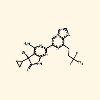 CCC1(C2CC2)C(=O)Nc2nc(-c3cn4ccnc4c(CCC(F)(F)C(F)(F)F)n3)nc(N)c21